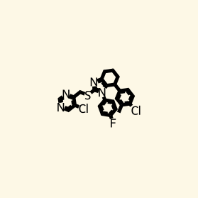 Cc1cc(C2CCCc3nc(SCc4ncncc4Cl)n(-c4ccc(F)cc4)c32)ccc1Cl